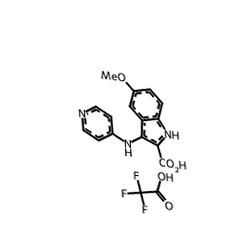 COc1ccc2[nH]c(C(=O)O)c(Nc3ccncc3)c2c1.O=C(O)C(F)(F)F